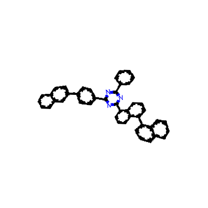 c1ccc(-c2nc(-c3ccc(-c4ccc5ccccc5c4)cc3)nc(-c3cccc4c(-c5cccc6ccccc56)cccc34)n2)cc1